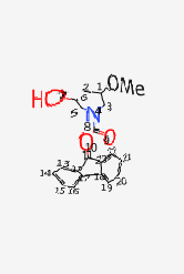 COC(C)CN(CCO)C(=O)OC1c2ccccc2-c2ccccc21